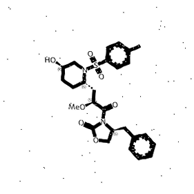 CO[C@@H](C[C@@H]1CC[C@@H](O)CN1S(=O)(=O)c1ccc(C)cc1)C(=O)N1C(=O)OC[C@@H]1Cc1ccccc1